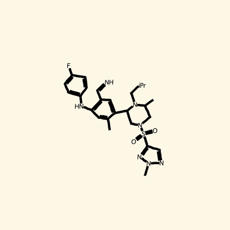 Cc1cc(Nc2ccc(F)cc2)c(C=N)cc1C1CN(S(=O)(=O)c2cnn(C)n2)CC(C)N1CC(C)C